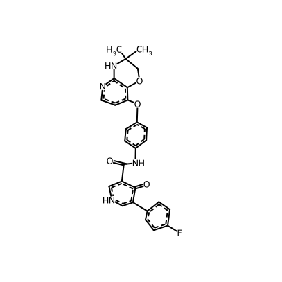 CC1(C)COc2c(Oc3ccc(NC(=O)c4c[nH]cc(-c5ccc(F)cc5)c4=O)cc3)ccnc2N1